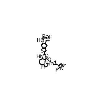 Cn1cc(C2CN(C(=O)[C@@H]3CC[C@@H]4CCC[C@H](NC(=O)c5cc6cc(C(F)P(=O)(O)O)ccc6s5)C(=O)N43)C2)c(F)n1